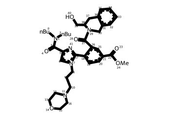 CCCCN(CCCC)C(=O)c1cn(CCCN2CCOCC2)c(-c2ccc(C(=O)OC)cc2C(=O)N2Cc3ccccc3CC2CO)n1